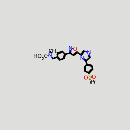 CC(C)S(=O)(=O)c1ccc(-c2cncc(-c3cc(-c4ccc(CN(C)C(=O)O)cc4)no3)n2)cc1